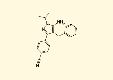 CC(C)n1nc(-c2ccc(C#N)cc2)c(Cc2ccccc2)c1N